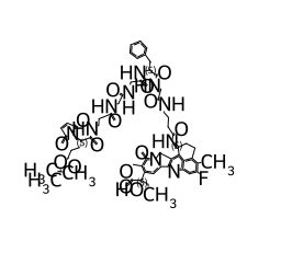 CC[C@@]1(O)C(=O)OCc2c1cc1n(c2=O)Cc2c-1nc1cc(F)c(C)c3c1c2[C@@H](NC(=O)CCCNC(=O)CNC(=O)[C@H](Cc1ccccc1)NC(=O)CNC(=O)CNC(=O)CCNC(=O)[C@H](CCC(=O)OC(C)(C)C)N1C(=O)C=CC1=O)CC3